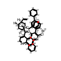 C=C[C@H]1C[N@+]2(Cc3cccc(-c4ccccc4)c3)CC[C@H]1C[C@@H]2C(Oc1nc(-c2ccccc2)nc(Cl)c1-c1ccccc1)c1ccnc2ccccc12.[Br-]